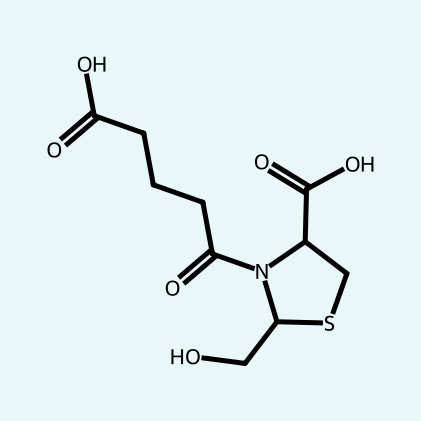 O=C(O)CCCC(=O)N1C(CO)SCC1C(=O)O